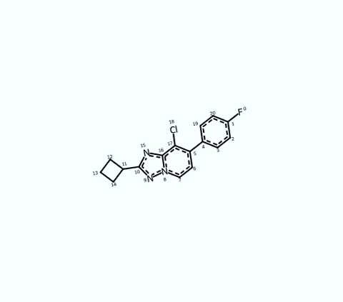 Fc1ccc(-c2ccn3nc(C4CCC4)nc3c2Cl)cc1